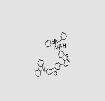 C1=CCCC(C2NC(c3ccccc3)=NC(c3ccc4c(c3)sc3cccc(-c5ccc6c(c5)oc5ccc(-n7c8ccccc8c8ccccc87)cc56)c34)N2)=C1